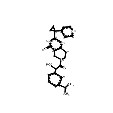 CC(C)c1cccc(C(O)C(=O)N2CCc3nc(C4(c5ccccc5)CC4)[nH]c(=O)c3C2)c1